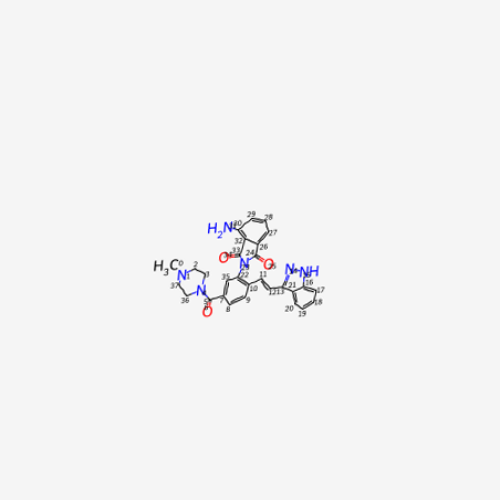 CN1CCN(C(=O)c2ccc(/C=C/c3n[nH]c4ccccc34)c(N3C(=O)c4cccc(N)c4C3=O)c2)CC1